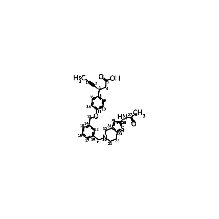 CC#C[C@@H](CC(=O)O)c1ccc(OCc2cccc(CN3CCc4sc(NC(C)=O)cc4C3)c2)cc1